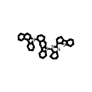 c1cc(-n2c3ccccc3c3c4ccccc4ccc32)c2cc3c4ccccc4n(-c4nc(-c5cccc6c5sc5ccccc56)nc5ccccc45)c3cc2c1